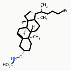 CC(C)CCC[C@@H](C)[C@H]1CC[C@H]2[C@@H]3CC=C4C[C@@H](ONC(=O)O)CC[C@]4(C)[C@H]3CC[C@]12C